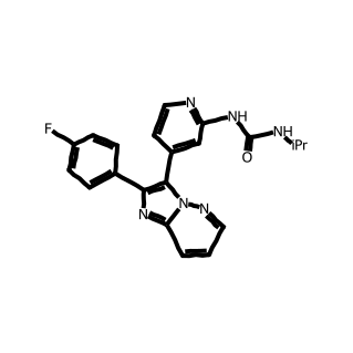 CC(C)NC(=O)Nc1cc(-c2c(-c3ccc(F)cc3)nc3cccnn23)ccn1